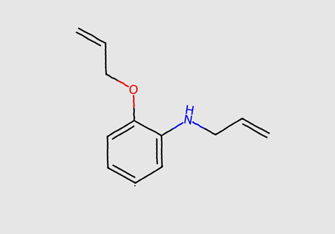 C=CCNc1c[c]ccc1OCC=C